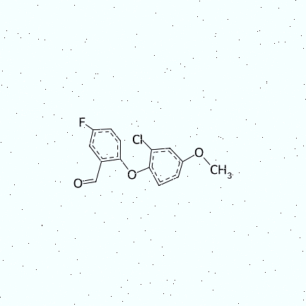 COc1ccc(Oc2ccc(F)cc2C=O)c(Cl)c1